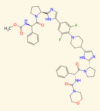 COC(=O)N[C@@H](C(=O)N1CCC[C@H]1c1ncc(-c2cc(F)c(N3CCC(c4cnc([C@@H]5CCCN5C(=O)[C@H](NC(=O)N5CCOCC5)c5ccccc5)[nH]4)CC3)c(F)c2)[nH]1)c1ccccc1